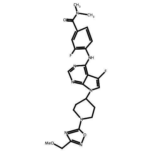 COCc1noc(N2CCC(n3cc(F)c4c(Nc5ccc(C(=O)N(C)C)cc5F)ncnc43)CC2)n1